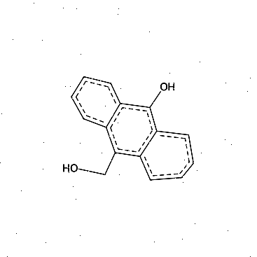 OCc1c2ccccc2c(O)c2ccccc12